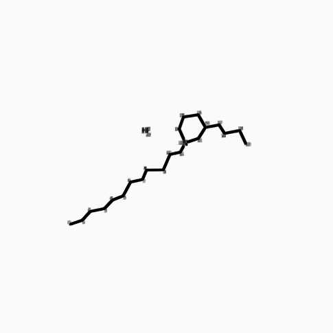 CCCCCCCCCCCCN1CCCC(CCCC)C1.F